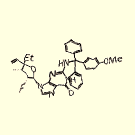 C=C[C@]1(CC)O[C@@H](n2cnc3c(=O)[nH]c(NC(c4ccccc4)(c4ccccc4)c4ccc(OC)cc4)nc32)[C@H](F)[C@@H]1C